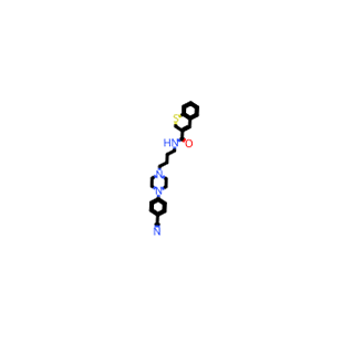 N#Cc1ccc(N2CCN(CCCCNC(=O)C3=Cc4ccccc4SC3)CC2)cc1